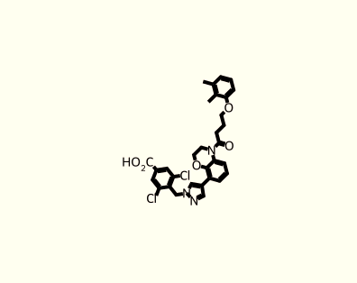 Cc1cccc(OCCCC(=O)N2CCOc3c(-c4cnn(Cc5c(Cl)cc(C(=O)O)cc5Cl)c4)cccc32)c1C